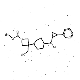 CC(=O)N(C1CCN(C2(CC#N)CN(C(=O)OC(C)(C)C)C2)CC1)C1CC1c1ccccc1